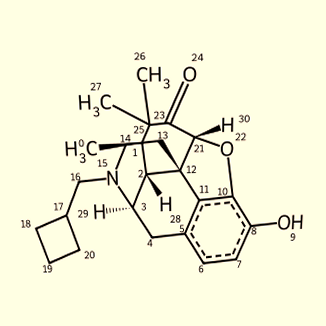 C[C@@H]1[C@H]2[C@H]3Cc4ccc(O)c5c4[C@@]2(CCN3CC2CCC2)[C@@H](O5)C(=O)C1(C)C